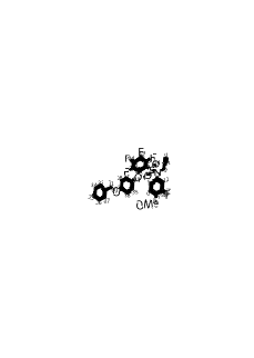 C#CCN(c1ccc(OC)c(F)c1)S(=O)(=O)c1c(F)c(F)c(F)c(F)c1Oc1ccc(OCc2ccccc2)cc1